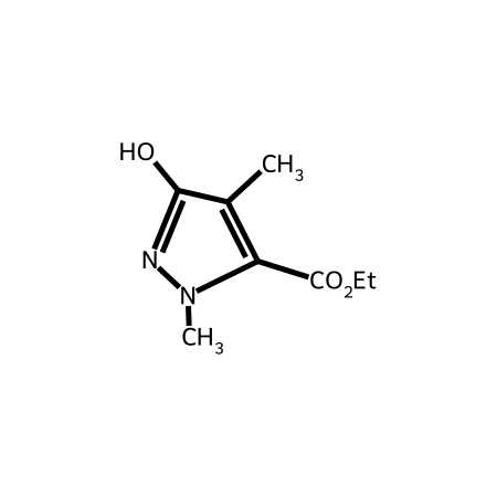 CCOC(=O)c1c(C)c(O)nn1C